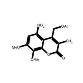 COc1cc([N+](=O)[O-])c2c(COC(C)=O)c(C)c(=O)oc2c1OC